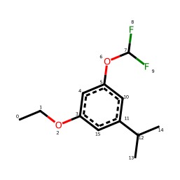 CCOc1cc(OC(F)F)cc([C](C)C)c1